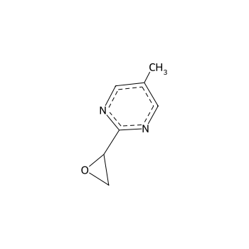 Cc1cnc(C2CO2)nc1